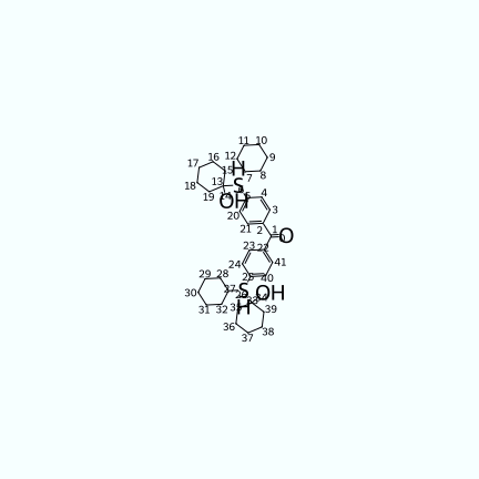 O=C(c1ccc([SH](C2CCCCC2)C2(O)CCCCC2)cc1)c1ccc([SH](C2CCCCC2)C2(O)CCCCC2)cc1